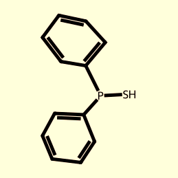 SP(c1ccccc1)c1ccccc1